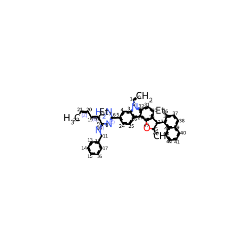 C=Cn1c2cc(/C(N)=N/C(=N\Cc3ccccc3)C(=C/C=C\C)/CC)ccc2c2c3c(ccc21)C(c1c(CC)ccc2ccccc12)C(C)O3